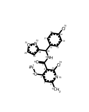 Cc1cc(OC(C)C)c(C(=O)NC(c2ccc(Cl)cc2)c2ccon2)c(Cl)n1